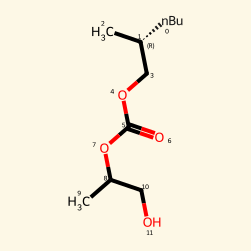 CCCC[C@@H](C)COC(=O)OC(C)CO